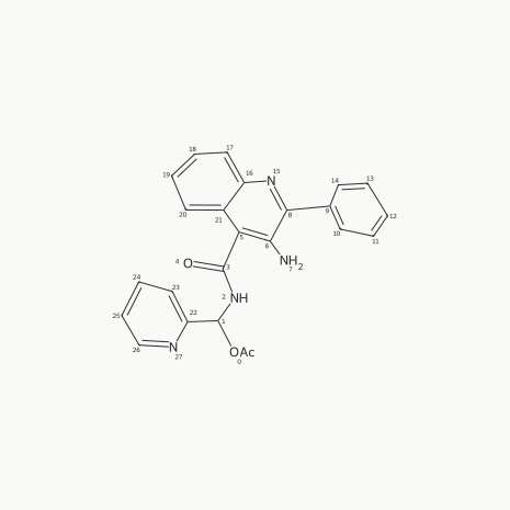 CC(=O)OC(NC(=O)c1c(N)c(-c2ccccc2)nc2ccccc12)c1ccccn1